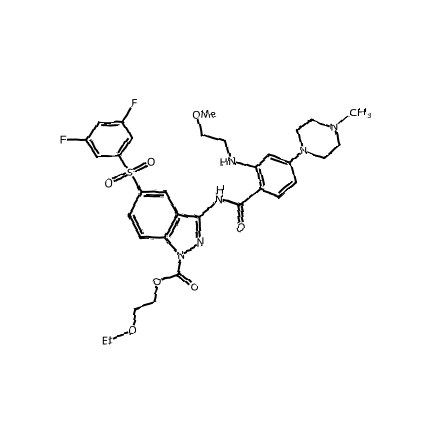 CCOCCOC(=O)n1nc(NC(=O)c2ccc(N3CCN(C)CC3)cc2NCCOC)c2cc(S(=O)(=O)c3cc(F)cc(F)c3)ccc21